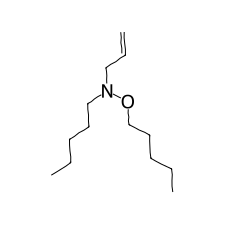 C=CCN(CCCCC)OCCCCC